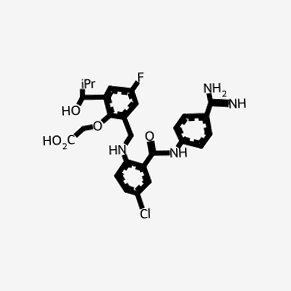 CC(C)C(O)c1cc(F)cc(CNc2ccc(Cl)cc2C(=O)Nc2ccc(C(=N)N)cc2)c1OCC(=O)O